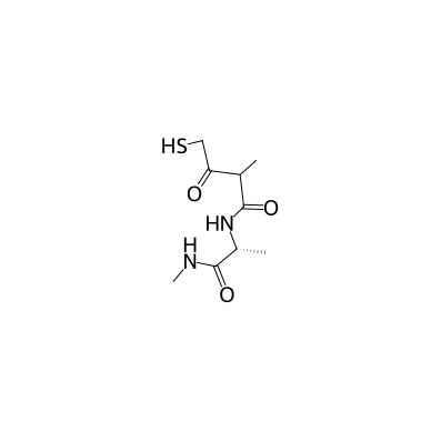 CNC(=O)[C@@H](C)NC(=O)C(C)C(=O)CS